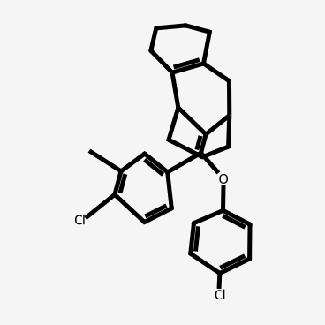 Cc1cc(/C(Oc2ccc(Cl)cc2)=C2/C3CCCC2C2=C(CCCC2)C3)ccc1Cl